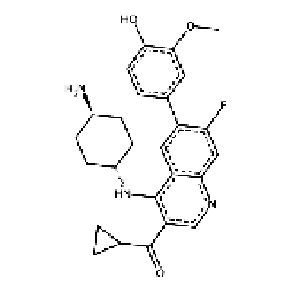 COc1cc(-c2cc3c(N[C@H]4CC[C@H](N)CC4)c(C(=O)C4CC4)cnc3cc2F)ccc1O